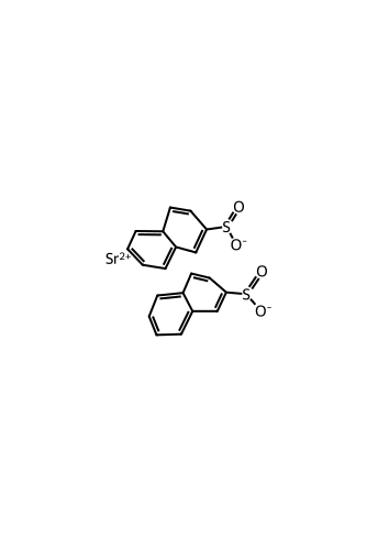 O=S([O-])c1ccc2ccccc2c1.O=S([O-])c1ccc2ccccc2c1.[Sr+2]